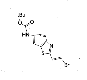 CC(C)(C)OC(=O)Nc1ccc2nc(/C=C/Br)sc2c1